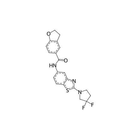 O=C(Nc1ccc2sc(N3CCC(F)(F)C3)nc2c1)c1ccc2c(c1)CCO2